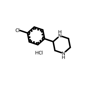 Cl.Clc1ccc(C2CNCCN2)cc1